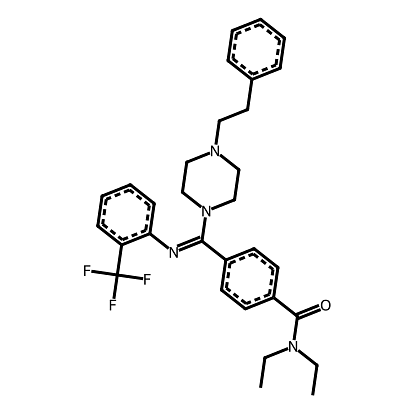 CCN(CC)C(=O)c1ccc(C(=Nc2ccccc2C(F)(F)F)N2CCN(CCc3ccccc3)CC2)cc1